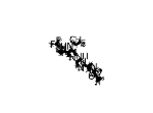 C[C@H](CCF)Nc1cc(Nc2ccnc(-c3cnn(S(=O)(=O)C4CC4)c3)n2)ncc1-c1ccn(C(F)F)n1